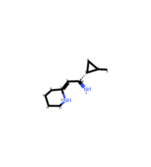 CC1C[C@H]1C(=N)/C=C1/CCCCN1